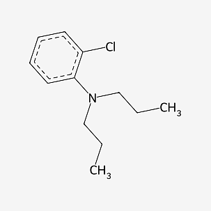 CCCN(CCC)c1ccccc1Cl